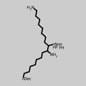 CCCCCCCCCCCCCCCCCC(N)C(CCCCCCCCC)CCCCCCCCN.F.F